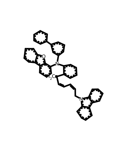 C=C(/C=C\C=C/Cn1c2ccccc2c2ccccc21)c1ccccc1N(c1cccc(-c2ccccc2)c1)c1cccc2c1oc1ccccc12